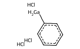 Cl.Cl.Cl.[GaH2][c]1ccccc1